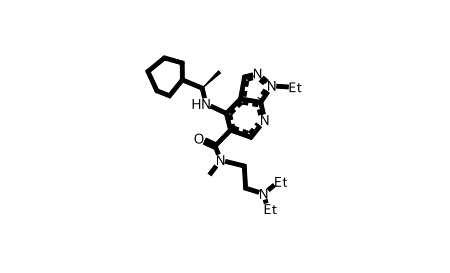 CCN(CC)CCN(C)C(=O)c1cnc2c(cnn2CC)c1N[C@H](C)C1CCCCC1